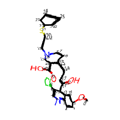 COc1ccc2ncc(Cl)c(C(O)CCC3CCN(CCSC4CCCC4)CC3C(=O)O)c2c1